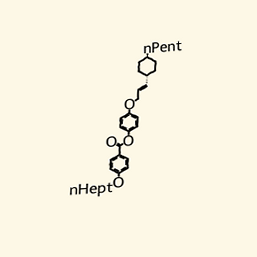 CCCCCCCOc1ccc(C(=O)Oc2ccc(OCC=C[C@H]3CC[C@H](CCCCC)CC3)cc2)cc1